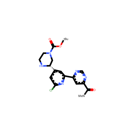 CNC(=O)c1cc(-c2cc([C@H]3CN(C(=O)OC(C)(C)C)CCN3)cc(Cl)n2)ncn1